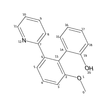 COc1[c]ccc(-c2ccccn2)c1-c1ccccc1O